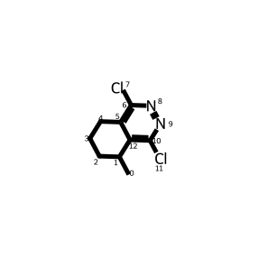 CC1CCCc2c(Cl)nnc(Cl)c21